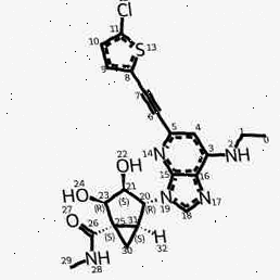 CCNc1cc(C#Cc2ccc(Cl)s2)nc2c1ncn2[C@H]1[C@H](O)[C@H](O)[C@]2(C(=O)NC)C[C@H]12